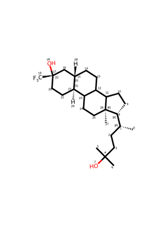 C[C@H](CCC(C)(C)O)[C@H]1CCC2C3CC[C@H]4C[C@](O)(C(F)(F)F)CC[C@@H]4C3CC[C@@]21C